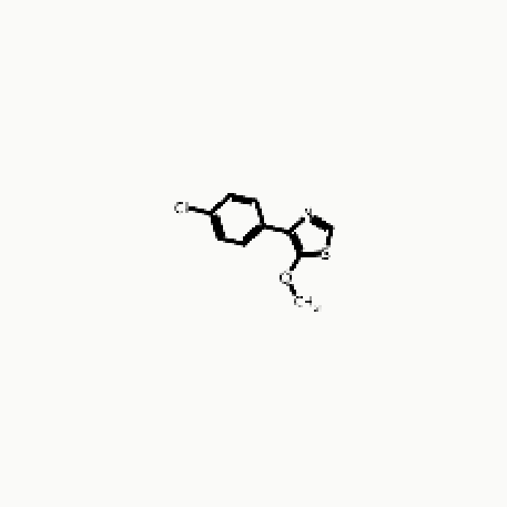 COc1scnc1-c1ccc(Cl)cc1